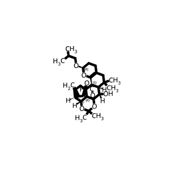 C=C1C(=O)[C@@]23[C@@H]4OC(C)(C)OC25OC[C@]2(C6=C(CC[C@H](OCC(C)C)O6)CC(C)(C)[C@H]2[C@@H]5O)[C@@H]3CC[C@@H]14